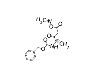 C=NOC(=O)CC(=O)[C@H](C)NC(=O)OCc1ccccc1